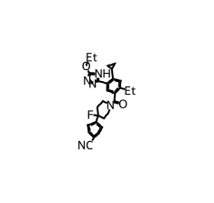 CCOc1nnc(-c2cc(C(=O)N3CCC(F)(c4ccc(C#N)cc4)CC3)c(CC)cc2C2CC2)[nH]1